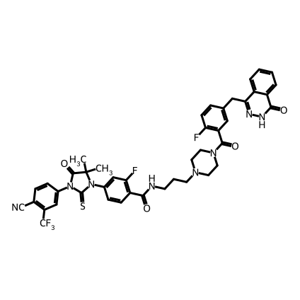 CC1(C)C(=O)N(c2ccc(C#N)c(C(F)(F)F)c2)C(=S)N1c1ccc(C(=O)NCCCN2CCN(C(=O)c3cc(Cc4n[nH]c(=O)c5ccccc45)ccc3F)CC2)c(F)c1